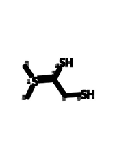 CS(C)=C(S)CS